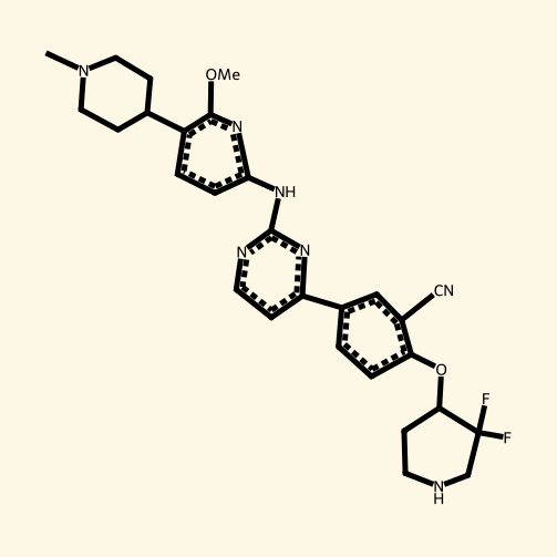 COc1nc(Nc2nccc(-c3ccc(OC4CCNCC4(F)F)c(C#N)c3)n2)ccc1C1CCN(C)CC1